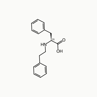 O=C(O)[C@H](Cc1ccccc1)NCCc1ccccc1